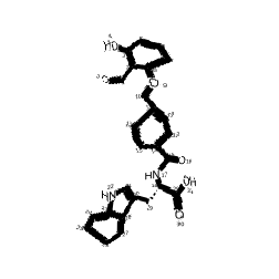 O=Cc1c(O)cccc1OCc1ccc(C(=O)N[C@@H](Cc2c[nH]c3ccccc23)C(=O)O)cc1